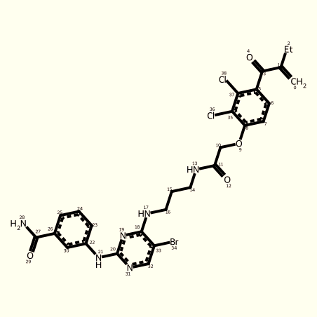 C=C(CC)C(=O)c1ccc(OCC(=O)NCCCNc2nc(Nc3cccc(C(N)=O)c3)ncc2Br)c(Cl)c1Cl